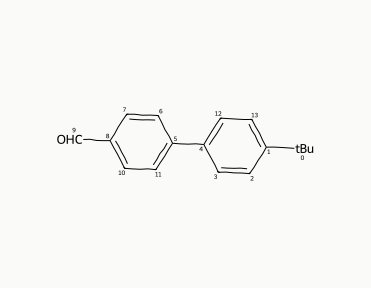 CC(C)(C)c1ccc(-c2ccc(C=O)cc2)cc1